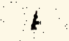 CCCCCCCCOC(=O)CCCCCCCN(CCCCCCCC(=O)OC(CCCCC)CCCCCC)CCCC(=O)NC